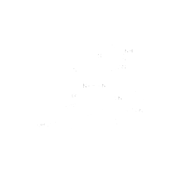 C[s+]1c(-c2ccc(C=O)cc2)c(N(c2nc[nH]n2)N(Br)Br)n2ccnc21